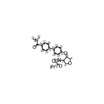 CC(C)S(=O)(=O)NC1COCC1Oc1ccc(-c2ccc(C(=O)N(C)C)cc2)cc1